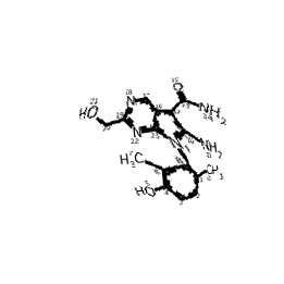 Cc1ccc(O)c(C)c1-n1c(N)c(C(N)=O)c2cnc(CO)nc21